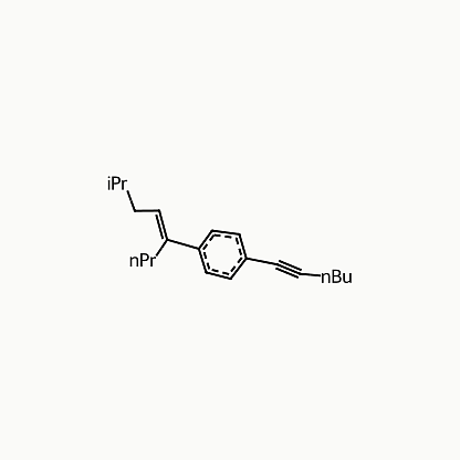 CCCCC#Cc1ccc(/C(=C/CC(C)C)CCC)cc1